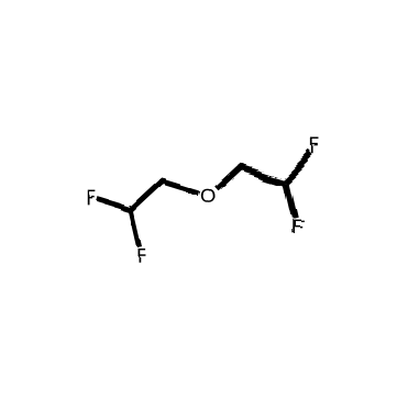 F[C](F)COCC(F)F